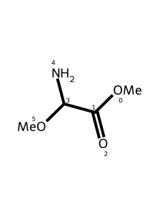 COC(=O)C(N)OC